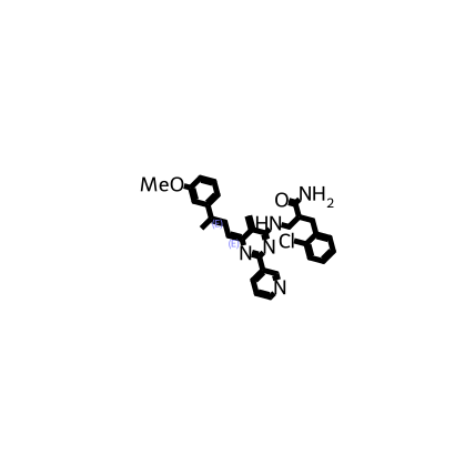 C=c1c(NCC(Cc2ccccc2Cl)C(N)=O)nc(-c2cccnc2)n/c1=C/C=C(\C)c1cccc(OC)c1